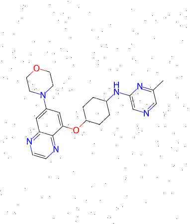 Cc1cncc(NC2CCC(Oc3cc(N4CCOCC4)cc4nccnc34)CC2)n1